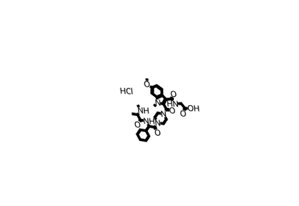 CNC(C)C(=O)NC(C(=O)N1CCN(C(=O)c2c(C(=O)NCC(=O)O)c3ccc(OC)cc3n2C)CC1)C1CCCCC1.Cl